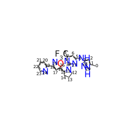 Cc1cc(Nc2cc(C(F)(F)F)nc(N3CCCC3c3cc(-c4ccccn4)no3)n2)n[nH]1